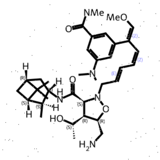 CNC(=O)c1cc(C(/C=C\C=C\CN2O[C@@H](CN)[C@@H]([C@H](C)O)[C@H]2C(=O)N[C@H]2C[C@H]3C[C@@H]([C@@H]2C)C3(C)C)=C\OC)cc(N(C)C)c1